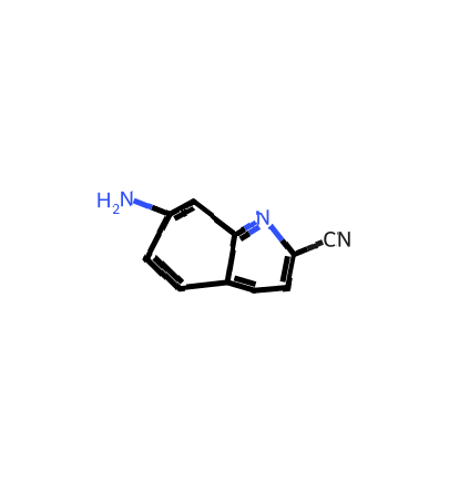 N#Cc1ccc2ccc(N)cc2n1